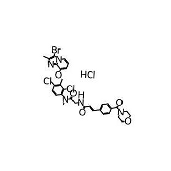 Cc1nc2c(OCc3c(Cl)ccc(N(C)C(=O)CNC(=O)C=Cc4ccc(C(=O)N5CCOCC5)cc4)c3Cl)cccn2c1Br.Cl